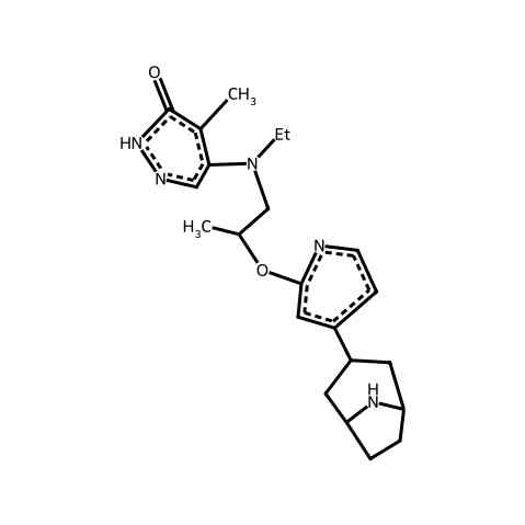 CCN(CC(C)Oc1cc(C2CC3CCC(C2)N3)ccn1)c1cn[nH]c(=O)c1C